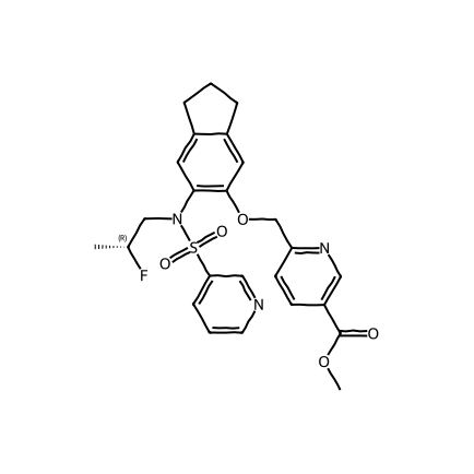 COC(=O)c1ccc(COc2cc3c(cc2N(C[C@@H](C)F)S(=O)(=O)c2cccnc2)CCC3)nc1